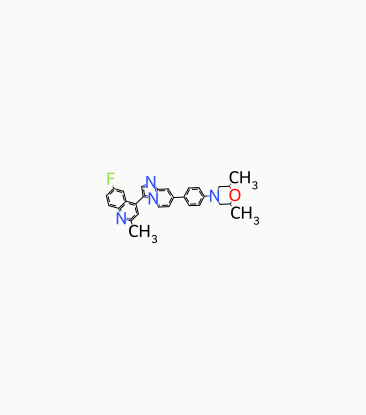 Cc1cc(-c2cnc3cc(-c4ccc(N5C[C@@H](C)O[C@@H](C)C5)cc4)ccn23)c2cc(F)ccc2n1